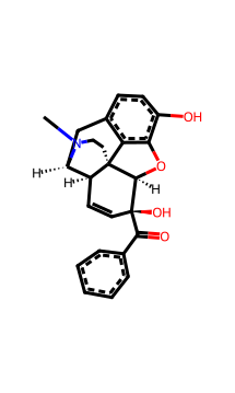 CN1CC[C@]23c4c5ccc(O)c4O[C@H]2[C@](O)(C(=O)c2ccccc2)C=C[C@H]3[C@H]1C5